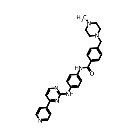 CN1CCN(Cc2ccc(C(=O)Nc3ccc(Nc4nccc(-c5ccncc5)n4)cc3)cc2)CC1